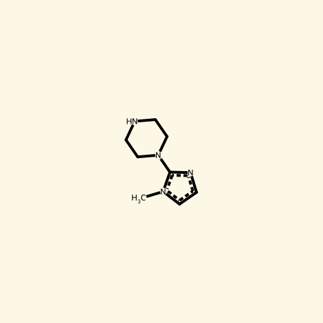 Cn1ccnc1N1CCNCC1